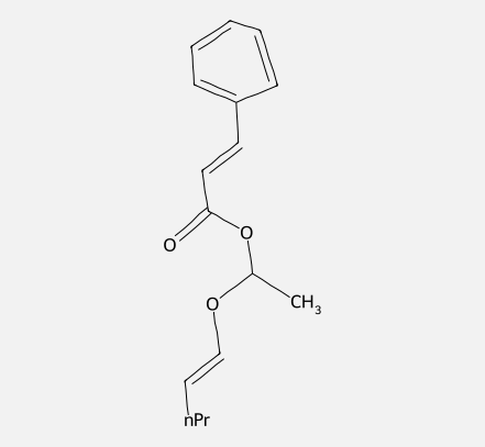 CCCC=COC(C)OC(=O)C=Cc1ccccc1